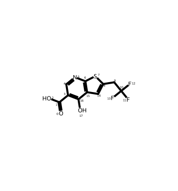 O=C(O)c1cnc2sc(CC(F)(F)F)cc2c1O